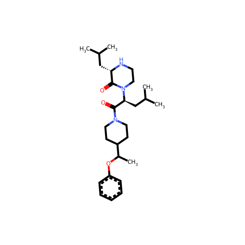 CC(C)C[C@@H]1NCCN([C@@H](CC(C)C)C(=O)N2CCC(C(C)Oc3ccccc3)CC2)C1=O